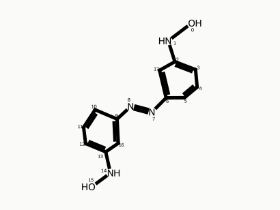 ONc1cccc(/N=N/c2cccc(NO)c2)c1